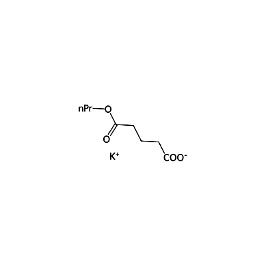 CCCOC(=O)CCCC(=O)[O-].[K+]